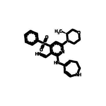 C[C@@H]1COCCN1c1cc(S(=O)(=O)c2ccccc2)c(C=N)c(NC2=CCCNC=C2)n1